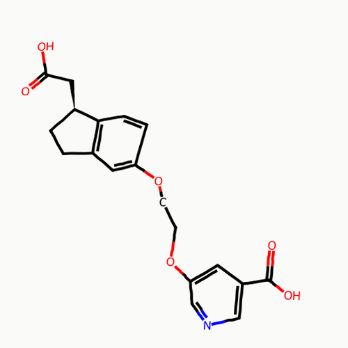 O=C(O)C[C@@H]1CCc2cc(OCCOc3cncc(C(=O)O)c3)ccc21